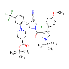 COc1ccc([C@@H]2CN(C(C)(C)C)C[C@@]2(F)C(=O)N2C[C@H](c3ccc(C(F)(F)F)cc3N3CCC(C(=O)OC(C)(C)C)CC3)[C@@H](C#N)C2)cc1